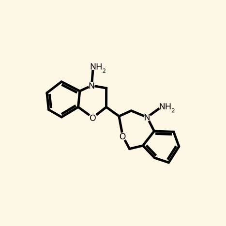 NN1CC(C2CN(N)c3ccccc3O2)OCc2ccccc21